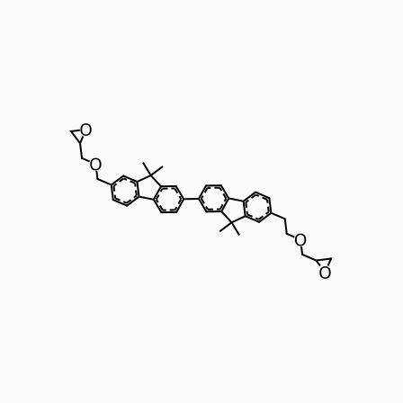 CC1(C)c2cc(CCOCC3CO3)ccc2-c2ccc(-c3ccc4c(c3)C(C)(C)c3cc(COCC5CO5)ccc3-4)cc21